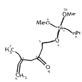 C=C(C)C(=O)CO[Si](CCC)(OC)OC